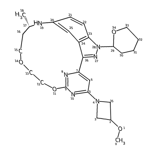 COC1CN(c2cc3nc(n2)OCCOCC[C@H](C)Nc2ccc4c(c2)c-3nn4C2CCCCO2)C1